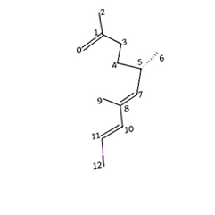 C=C(C)CC[C@H](C)/C=C(C)/C=C/I